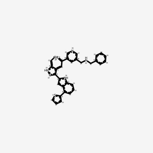 C=C(/C=c1/c(-c2cc3c(-c4cccs4)cccc3[nH]2)n[nH]/c1=C/C)c1cncc(CNCc2ccccc2)c1